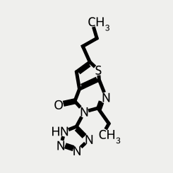 CCCc1cc2c(=O)n(-c3nnn[nH]3)c(CC)nc2s1